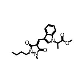 CCCCN1C(=O)/C(=C/c2cn(C(C)C(=O)OC)c3ccccc23)C(=O)N1C